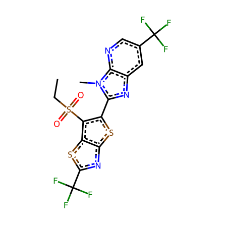 CCS(=O)(=O)c1c(-c2nc3cc(C(F)(F)F)cnc3n2C)sc2nc(C(F)(F)F)sc12